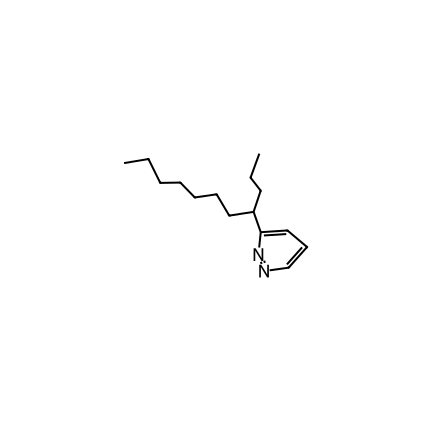 CCCCCCCC(CCC)c1cccnn1